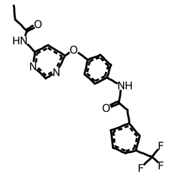 CCC(=O)Nc1cc(Oc2ccc(NC(=O)Cc3cccc(C(F)(F)F)c3)cc2)ncn1